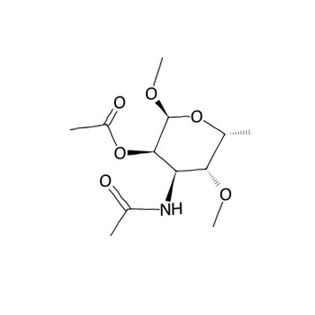 CO[C@H]1O[C@H](C)[C@H](OC)[C@@H](NC(C)=O)[C@H]1OC(C)=O